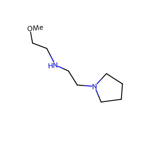 COCCNCCN1CCCC1